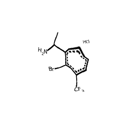 CC(N)c1cccc(C(F)(F)F)c1Br.Cl